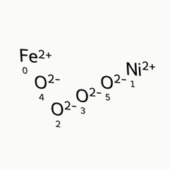 [Fe+2].[Ni+2].[O-2].[O-2].[O-2].[O-2]